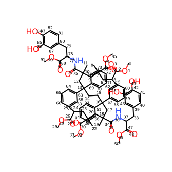 COC(=O)C(C)CC(C)(CC(C)(CC(CCC(CC(C)(CC(C)(CC(C)C(=O)OC)C(=O)OC)C(=O)NC(Cc1ccc(O)c(O)c1)C(=O)OC)(c1ccccc1)c1ccccc1)(c1ccccc1)c1ccccc1)C(=O)NC(Cc1ccc(O)c(O)c1)C(=O)OC)C(=O)OC